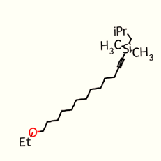 CCOCCCCCCCCCCCC#C[Si](C)(C)CC(C)C